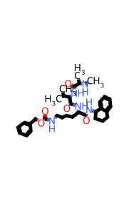 CNC(C)C(=O)NC(C(=O)NC(CCCCNC(=O)OCc1ccccc1)C(=O)NC1CCCc2ccccc21)C(C)C